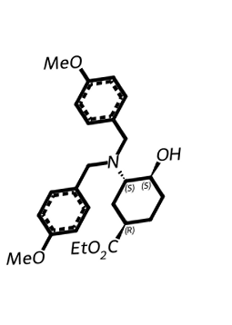 CCOC(=O)[C@@H]1CC[C@H](O)[C@@H](N(Cc2ccc(OC)cc2)Cc2ccc(OC)cc2)C1